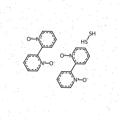 SS.[O-][n+]1ccccc1-c1cccc[n+]1[O-].[O-][n+]1ccccc1-c1cccc[n+]1[O-]